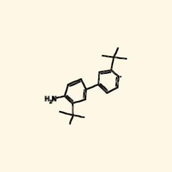 CC(C)(C)c1[c]ccc(-c2ccc(N)c(C(C)(C)C)c2)c1